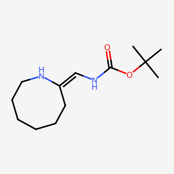 CC(C)(C)OC(=O)NC=C1CCCCCCN1